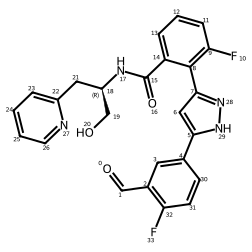 O=Cc1cc(-c2cc(-c3c(F)cccc3C(=O)N[C@@H](CO)Cc3ccccn3)n[nH]2)ccc1F